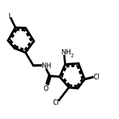 Nc1cc(Cl)cc(Cl)c1C(=O)NCc1ccc(I)cc1